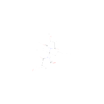 O=C(O)CCC(C(=O)O)(N1C(=O)CC(O)C1=O)N1C(=O)CC(O)C1=O